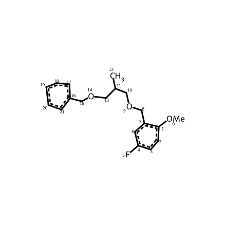 COc1ccc(F)cc1COCC(C)COCc1ccccc1